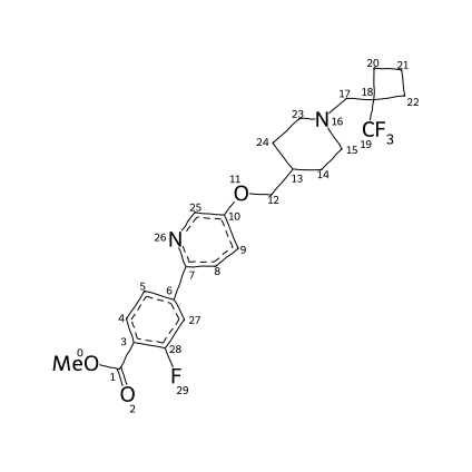 COC(=O)c1ccc(-c2ccc(OCC3CCN(CC4(C(F)(F)F)CCC4)CC3)cn2)cc1F